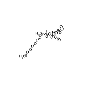 COCCOCCOCCOCCOCCOCCOCCN(C)CCNC(=O)c1cccc(C(=O)Nc2ccc(N3CCCCC3)cc2-c2cc(C(=O)NC3CCCc4ccccc43)ccn2)c1